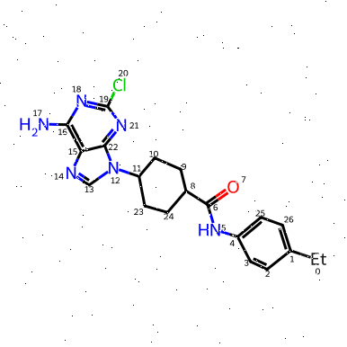 CCc1ccc(NC(=O)C2CCC(n3cnc4c(N)nc(Cl)nc43)CC2)cc1